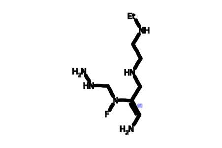 CCNCCNC/C(=C/N)N(F)CNN